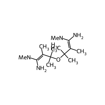 CNC(N)=C(C)C(C)(C)OC(C)(C)C(C)=C(N)NC